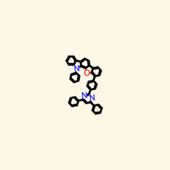 c1ccc(-c2cc(-c3ccccc3)nc(-c3ccc(-c4cccc5c4oc4c5ccc5c6ccccc6n(-c6ccccc6)c54)cc3)n2)cc1